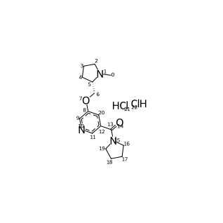 CN1CCC[C@H]1COc1cncc(C(=O)N2CCCC2)c1.Cl.Cl